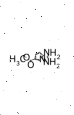 COC(=O)c1ccc(N)[n+](N)c1